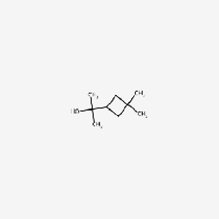 CC1(C)CC(C(C)(C)O)C1